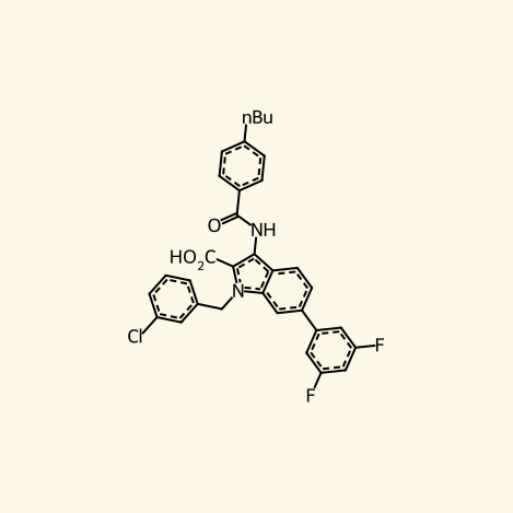 CCCCc1ccc(C(=O)Nc2c(C(=O)O)n(Cc3cccc(Cl)c3)c3cc(-c4cc(F)cc(F)c4)ccc23)cc1